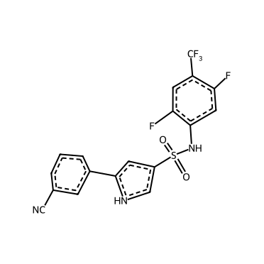 N#Cc1cccc(-c2cc(S(=O)(=O)Nc3cc(F)c(C(F)(F)F)cc3F)c[nH]2)c1